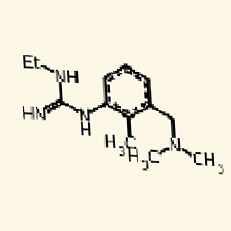 CCNC(=N)Nc1cccc(CN(C)C)c1C